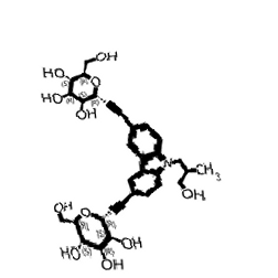 CC(CO)Cn1c2ccc(C#C[C@H]3O[C@H](CO)[C@@H](O)[C@H](O)[C@@H]3O)cc2c2cc(C#C[C@H]3O[C@H](CO)[C@@H](O)[C@H](O)[C@@H]3O)ccc21